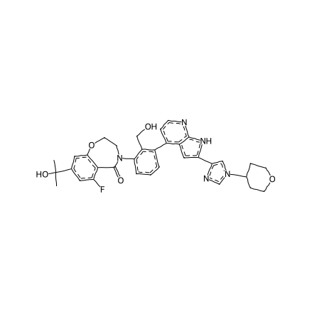 CC(C)(O)c1cc(F)c2c(c1)OCCN(c1cccc(-c3ccnc4[nH]c(-c5cn(C6CCOCC6)cn5)cc34)c1CO)C2=O